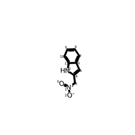 O=[N+]([O-])Cc1cc2ccccc2[nH]1